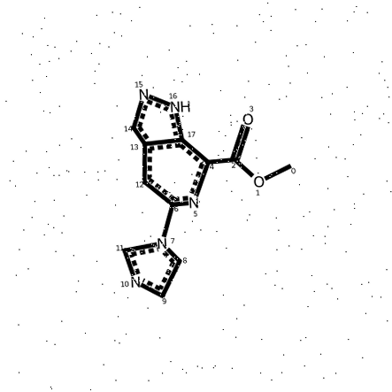 COC(=O)c1nc(-n2ccnc2)cc2cn[nH]c12